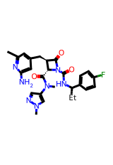 CCC(NC(=O)N1C(=O)[C@H](Cc2cc(C)nc(N)c2)[C@H]1C(=O)N(C)c1cnn(C)c1)c1ccc(F)cc1